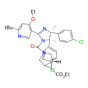 CCOC(=O)C1C2CN(C(=O)N3C(c4cnc(C(C)(C)C)cc4OCC)=N[C@@](C)(c4ccc(Cl)cc4)[C@@]3(C)c3ccc(Cl)cc3)C[C@@H]21